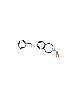 O=CN1CCc2ccc(OCc3cccc(F)c3)cc2CC1